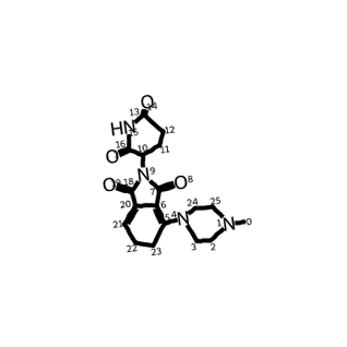 CN1CCN(C2=C3C(=O)N(C4CCC(=O)NC4=O)C(=O)C3=CCC2)CC1